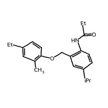 CCC(=O)Nc1ccc(C(C)C)cc1COc1ccc(CC)cc1C